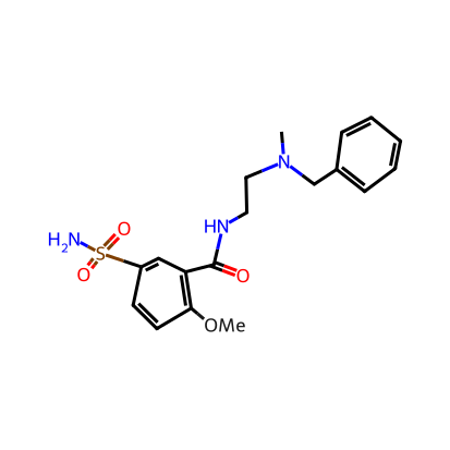 COc1ccc(S(N)(=O)=O)cc1C(=O)NCCN(C)Cc1ccccc1